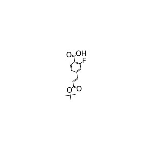 CC(C)(C)OC(=O)C=Cc1ccc(C(=O)O)c(F)c1